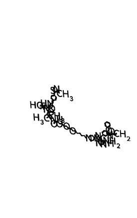 C=CC(=O)Nc1cc(-c2nn(C3CCN(CCCCCCOCCOCCOCC(=O)NCC(C)(C)CC(=O)N4C[C@H](O)C[C@H]4C(=O)NCc4ccc(-c5scnc5C)cc4)CC3)c3ncnc(N)c23)ccc1Oc1ccccc1